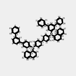 c1ccc(-c2cccc(-c3ccc(N(c4ccc(-c5ccc(N(c6cc(-c7ccccc7)cc(-c7ccccc7)c6)c6cccc7ccccc67)cc5)cc4)c4cccc5ccccc45)cc3)c2)cc1